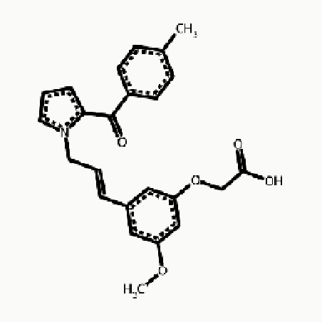 COc1cc(/C=C/Cn2cccc2C(=O)c2ccc(C)cc2)cc(OCC(=O)O)c1